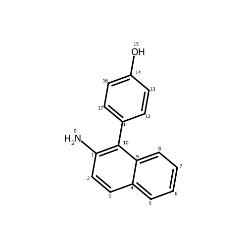 Nc1ccc2ccccc2c1-c1ccc(O)cc1